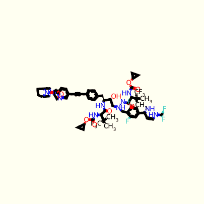 CC(C)(C(NC(=O)OC1CC1)C(=O)N[C@@H](Cc1ccc(C#Cc2ccc(N3CC4CCC(C3)N4C3COC3)nc2)cc1)[C@@H](O)CN(Cc1c(F)cc(C(=N)/C=C\NC(F)F)cc1F)NC(=O)[C@@H](NC(=O)OC1CC1)C(C)(C)C(F)(F)F)C(F)(F)F